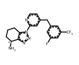 N[C@H]1CCCc2c1nnn2-c1cc(Cc2cc(F)cc(C(F)(F)F)c2)ccn1